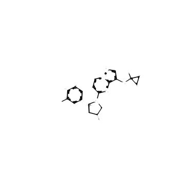 CCOC(=O)C1(Nc2cnn3ccc(N4C[C@@H](F)C[C@@H]4c4cccc(F)c4)nc23)CC1